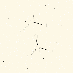 Cl[SiH2]Cl.Cl[SiH](Cl)Cl